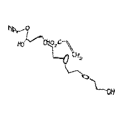 C=CC(=O)O.CCCOC(O)COCCOCCOCCO